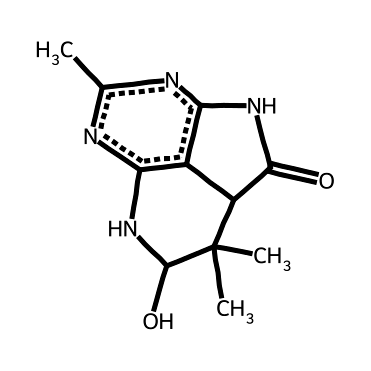 Cc1nc2c3c(n1)NC(O)C(C)(C)C3C(=O)N2